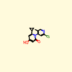 Cc1cnc(Cl)cc1-n1c(C2CC2)cc(O)cc1=O